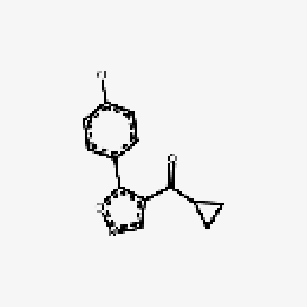 O=C(c1cnoc1-c1ccc(Cl)cc1)C1CC1